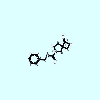 O=C(OCc1ccccc1)N1CCC2(CCC2=O)C1